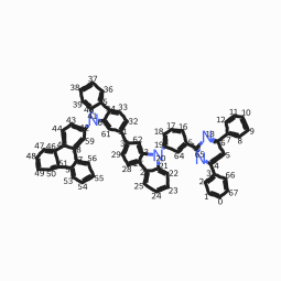 c1ccc(-c2cc(-c3ccccc3)nc(-c3cccc(-n4c5ccccc5c5ccc(-c6ccc7c8ccccc8n(-c8ccc9c%10ccccc%10c%10ccccc%10c9c8)c7c6)cc54)c3)n2)cc1